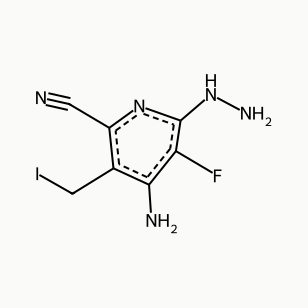 N#Cc1nc(NN)c(F)c(N)c1CI